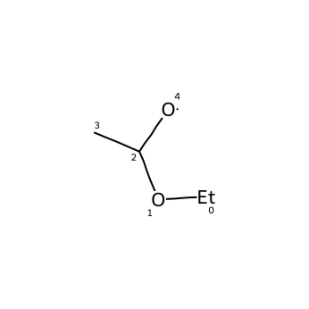 CCOC(C)[O]